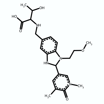 COCCN1c2ccc(CNC(C(=O)O)C(C)O)cc2NC1c1cc(C)c(=O)n(C)c1